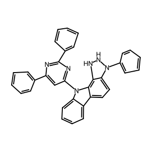 c1ccc(-c2cc(-n3c4ccccc4c4ccc5c(c43)NNN5c3ccccc3)nc(-c3ccccc3)n2)cc1